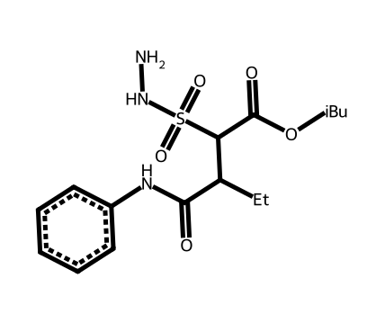 CCC(C)OC(=O)C(C(CC)C(=O)Nc1ccccc1)S(=O)(=O)NN